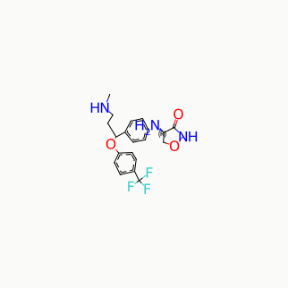 CNCCC(Oc1ccc(C(F)(F)F)cc1)c1ccccc1.N[C@@H]1CONC1=O